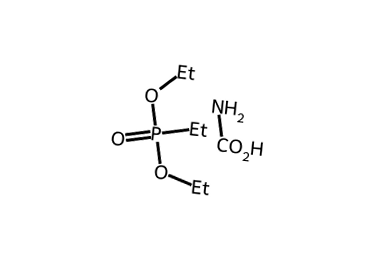 CCOP(=O)(CC)OCC.NC(=O)O